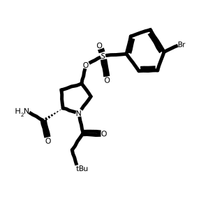 CC(C)(C)CC(=O)N1CC(OS(=O)(=O)c2ccc(Br)cc2)C[C@H]1C(N)=O